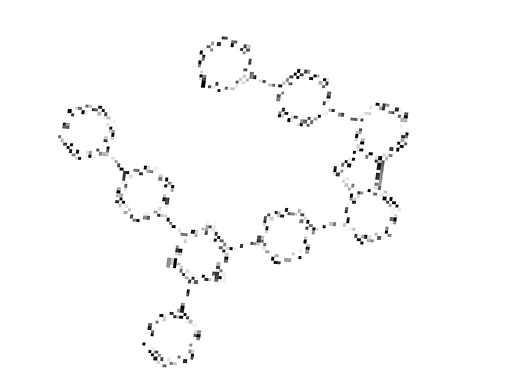 c1ccc(-c2ccc(-c3nc(-c4ccccc4)nc(-c4ccc(-c5cccc6c5oc5c(-c7ccc(-c8cccnc8)cc7)cccc56)cc4)n3)cc2)cc1